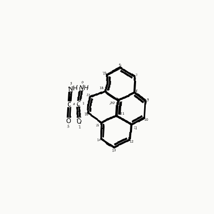 N=C=O.N=C=O.c1cc2ccc3cccc4ccc(c1)c2c34